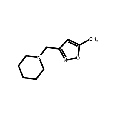 Cc1cc(CN2CCCCC2)no1